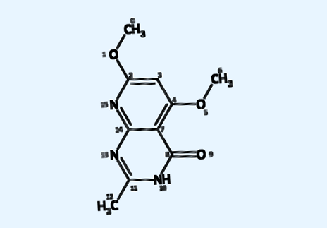 COc1cc(OC)c2c(=O)[nH]c(C)nc2n1